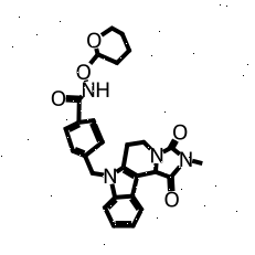 CN1C(=O)C2c3c(n(Cc4ccc(C(=O)NOC5CCCCO5)cc4)c4ccccc34)CCN2C1=O